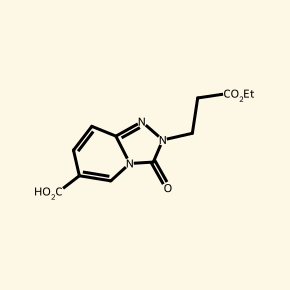 CCOC(=O)CCn1nc2ccc(C(=O)O)cn2c1=O